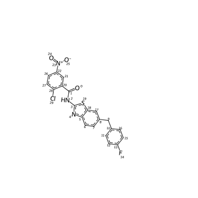 O=C(Nc1nc2ccc(Cc3ccc(F)cc3)cc2s1)c1cc([N+](=O)[O-])ccc1Cl